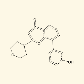 O=c1cc(N2CCOCC2)oc2c(-c3cccc(O)c3)cccc12